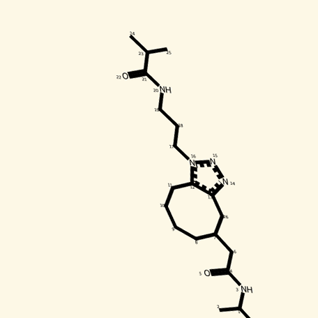 CC(C)NC(=O)CC1CCCCc2c(nnn2CCCNC(=O)C(C)C)C1